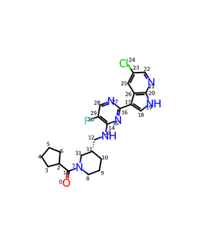 O=C(C1CCCC1)N1CCC[C@@H](CNc2nc(-c3c[nH]c4ncc(Cl)cc34)ncc2F)C1